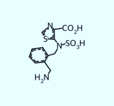 NCc1ccccc1CN(c1scnc1C(=O)O)S(=O)(=O)O